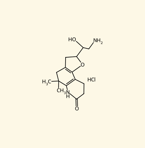 CC1(C)CC2=C(OC(C(O)CN)C2)C2=C1NC(=O)CC2.Cl